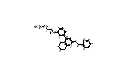 O=C(O)NCCNc1cncc(-c2cc(OCc3ccccn3)nc3c2CCCC3)c1